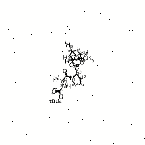 CC(C)[C@@H](NC(=O)OC(C)(C)C)C(=O)N1CCC[C@@H]1B1O[C@@H]2C[C@@H]3C[C@@H](C3(C)C)[C@]2(C)O1